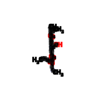 CC/C=C\CCCCOC(CCC(=O)OCCCCCCN(CCCO)CCCCCCCC(=O)OCCC(CCCC)CCCC)OCCCC/C=C\CC